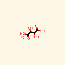 O=C(O)C(O)C(O)C(=O)O.[B]